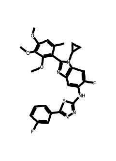 COc1cc(C)c(-c2nc3cc(Nc4nnc(-c5cccc(F)c5)s4)c(F)cc3n2C2CC2)c(OC)c1OC